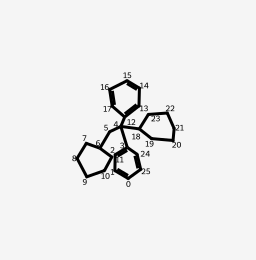 c1ccc(C(CC2CCCCC2)(c2ccccc2)C2CCCCC2)cc1